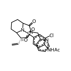 C=C[C@H]1CN(Cc2ccccn2)C(=O)C2CCCC1N2S(=O)(=O)c1ccc(NC(C)=O)c(Cl)c1